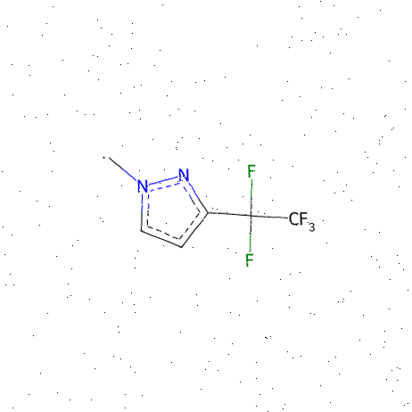 [CH2]n1ccc(C(F)(F)C(F)(F)F)n1